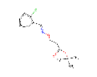 CC(C)(C)OC(=O)CCO/N=C/c1c[c]ccc1Cl